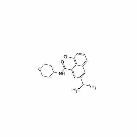 CC(N)c1cc2cccc(Cl)c2c(C(=O)NC2CCOCC2)n1